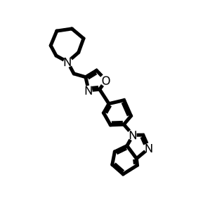 c1ccc2c(c1)ncn2-c1ccc(-c2nc(CN3CCCCCC3)co2)cc1